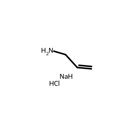 C=CCN.Cl.[NaH]